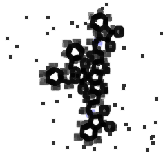 O=C1C(=O)c2ccccc2/C1=C/c1cc2sc3c(c2s1)C(C(=O)OCc1ccccc1)(C(=O)OCc1ccccc1)c1c-3sc2cc(/C=C3\C(=O)C(=O)c4ccccc43)sc12